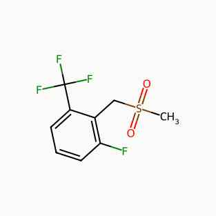 CS(=O)(=O)Cc1c(F)cccc1C(F)(F)F